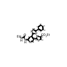 CCNC(=O)Nc1cc(-c2nnc(-c3ccccc3)o2)c(-c2nc(C(=O)OCC)cs2)cn1